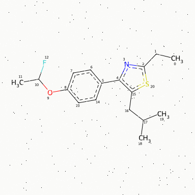 CCc1nc(-c2ccc(OC(C)F)cc2)c(CC(C)C)s1